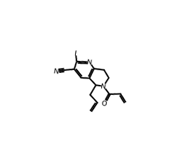 C=CCC1c2cc(C#N)c(I)nc2CCN1C(=O)C=C